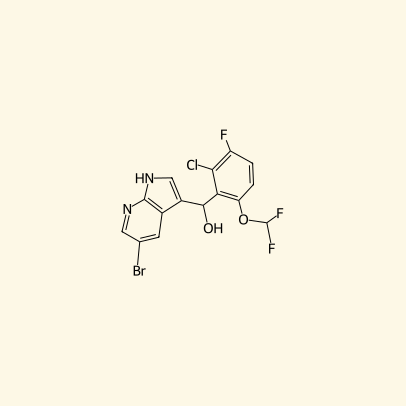 OC(c1c(OC(F)F)ccc(F)c1Cl)c1c[nH]c2ncc(Br)cc12